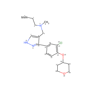 CNCCN(C)Cc1c[nH]nc1-c1ccc(OC2CCOCC2)c(Cl)c1